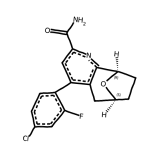 NC(=O)c1cc(-c2ccc(Cl)cc2F)c2c(n1)[C@H]1CC[C@@H](C2)O1